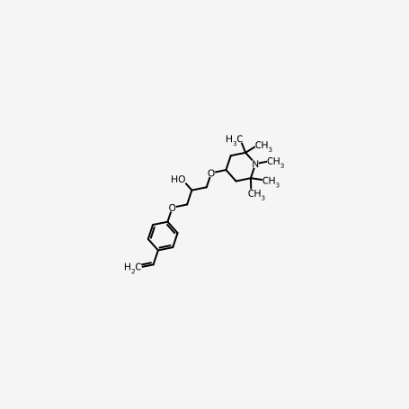 C=Cc1ccc(OCC(O)COC2CC(C)(C)N(C)C(C)(C)C2)cc1